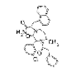 CC1CCN(C(Cc2cccc3ccccc23)C(N)=O)C(=O)C(c2cccc(Cl)c2)N1C(=O)Cc1ccccc1